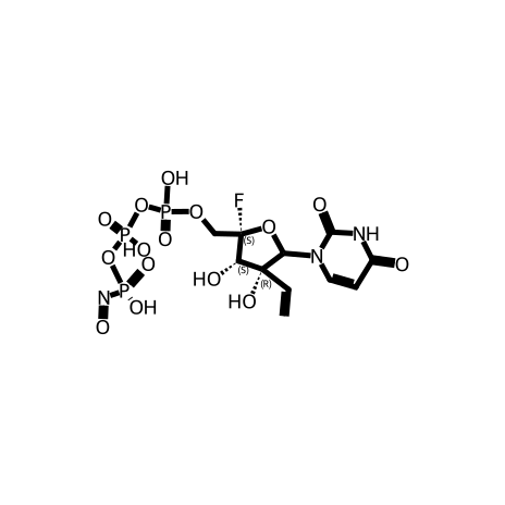 C=C[C@]1(O)C(n2ccc(=O)[nH]c2=O)O[C@](F)(COP(=O)(O)OP(=O)(O)OP(=O)(O)N=O)[C@H]1O